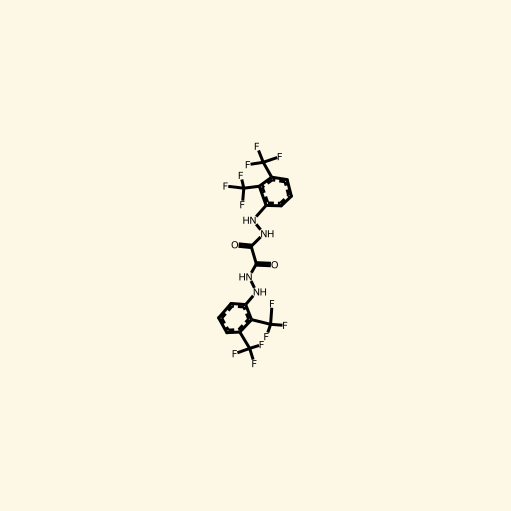 O=C(NNc1cccc(C(F)(F)F)c1C(F)(F)F)C(=O)NNc1cccc(C(F)(F)F)c1C(F)(F)F